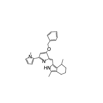 Cc1[nH]c(C=C2N=C(c3cccn3C)C=C2OCc2ccccc2)c2c1CCCC2C